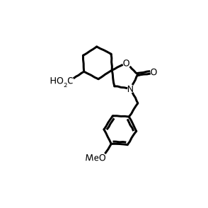 COc1ccc(CN2CC3(CCCC(C(=O)O)C3)OC2=O)cc1